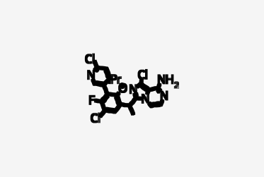 CC(C)Oc1c(C(C)c2nc(Cl)c3c(N)nccn23)cc(Cl)c(F)c1-c1ccc(Cl)nc1